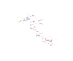 CCN[C@H]1CO[C@@H](O[C@H]2[C@H](O[C@H]3C#CC=CC#C[C@]4(O)CC(=O)C(NC(=O)OC)=C3/C4=C\CSS[C@H](C)CO)O[C@H](C)[C@@H](NO[C@H]3C[C@H](O)[C@H]([SH]=C(O)c4c(C)c(I)c(O[C@@H]5O[C@@H](C)[C@H](O)[C@@H](OC)[C@H]5O)c(OC)c4OC)[C@@H](C)O3)[C@@H]2O)C[C@@H]1OC